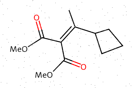 COC(=O)C(C(=O)OC)=C(C)C1CCC1